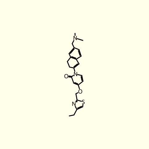 CCc1csc(COc2ccn(C3=Cc4ccc(CN(C)C)cc4CC3)c(=O)c2)n1